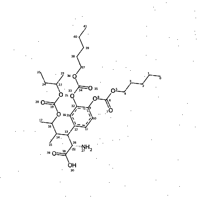 CCCCCOC(=O)Oc1ccc(C(C(C)C(C)OC(=O)OC(C)CC)[C@H](N)C(=O)O)cc1OC(=O)OCCCCC